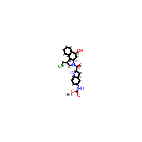 CC(C)(C)OC(=O)Nc1ccc2[nH]c(C(=O)N3CC(CCl)c4c3cc(O)c3ccccc43)cc2c1